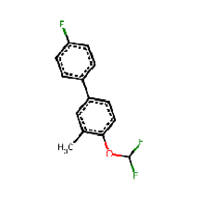 Cc1cc(-c2ccc(F)cc2)ccc1OC(F)F